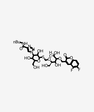 CCCCNC(=O)c1cn(C2C(O)C(CO)OC(SCO[C@H](CO)C(O)C(OCc3cc4c(F)c(F)ccc4oc3=O)[C@H](C)O)C2O)nn1